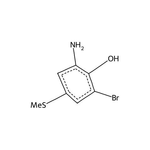 CSc1cc(N)c(O)c(Br)c1